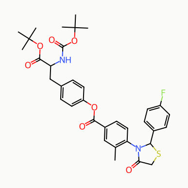 Cc1cc(C(=O)Oc2ccc(CC(NC(=O)OC(C)(C)C)C(=O)OC(C)(C)C)cc2)ccc1N1C(=O)CSC1c1ccc(F)cc1